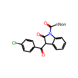 CCCCCCCCCC(=O)N1C(=O)C(C(=O)c2ccc(Cl)cc2)c2ccccc21